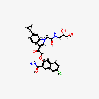 NC(=O)c1cc2cc(Cl)ccc2cc1OCC(=O)c1cn(CC(=O)NC[C@H](O)CO)c2cc(C3CC3)ccc12